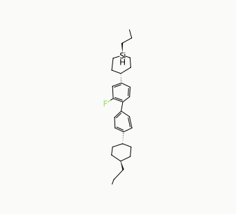 CCC[C@H]1CC[C@H](c2ccc(-c3ccc([C@H]4CC[Si@H](CCC)CC4)cc3F)cc2)CC1